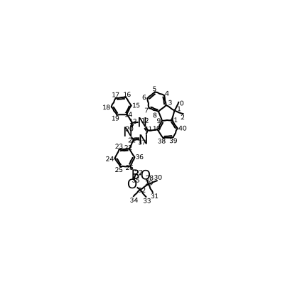 CC1(C)c2ccccc2-c2c(-c3nc(-c4ccccc4)nc(-c4cccc(B5OC(C)(C)C(C)(C)O5)c4)n3)cccc21